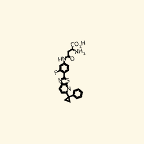 N[C@@H](CC(=O)Nc1ccc(-c2nc3ccc(C4(c5ccccc5)CC4)nc3s2)c(F)c1)C(=O)O